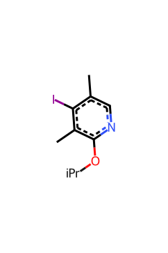 Cc1cnc(OC(C)C)c(C)c1I